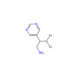 CCC(CC)C(CN)c1cncnc1